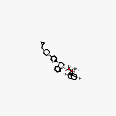 NC(=O)C12CC3C[C@H](C1)C(NC(=O)ON1CCN(c4ccc(N5CCN(CC6CC6)CC5)cn4)c4ccccc41)[C@@H](C3)C2